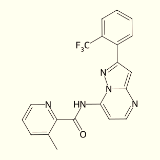 Cc1cccnc1C(=O)Nc1ccnc2cc(-c3ccccc3C(F)(F)F)nn12